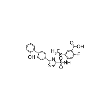 COc1cc(C(=O)O)c(F)cc1NS(=O)(=O)c1csc(-c2ccc(-c3ccccc3O)cc2)n1